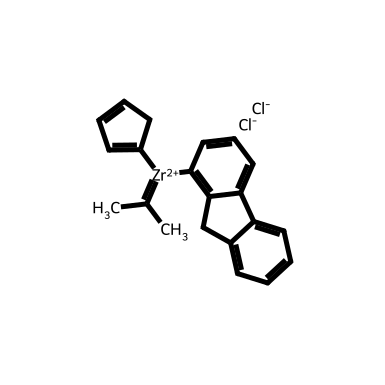 C[C](C)=[Zr+2]([C]1=CC=CC1)[c]1cccc2c1Cc1ccccc1-2.[Cl-].[Cl-]